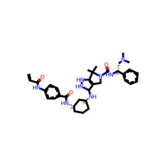 C=CC(=O)Nc1ccc(C(=O)N[C@H]2CCC[C@@H](NC3NNC4=C3CN(C(=O)N[C@H](CN(C)C)c3ccccc3)C4(C)C)C2)cc1